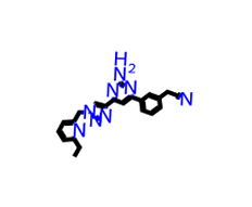 CCc1cccc(Cn2cc(-c3cc(-c4cccc(CC#N)c4)nc(N)n3)nn2)n1